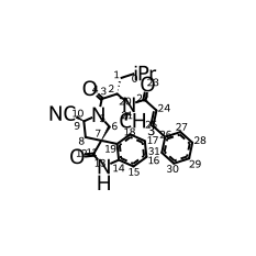 CC(C)C[C@@H](C(=O)N1C[C@]2(C[C@H]1C#N)C(=O)Nc1ccccc12)N(C)C(=O)/C=C/c1ccccc1